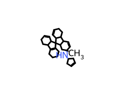 CC1(NC2CC=CC2)C=CC2C3CCC=CC3C3(C4=C(CCCC4)C4CCC=CC43)C2C1